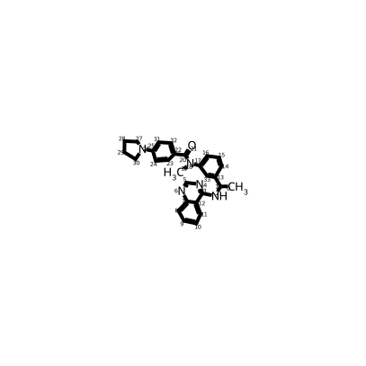 CC(Nc1ncnc2ccccc12)c1cccc(N(C)C(=O)c2ccc(N3CCCC3)cc2)c1